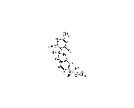 Cc1cc(F)c(C(F)(F)Oc2ccc(C(F)(F)OC(F)(F)F)cc2)c(F)c1